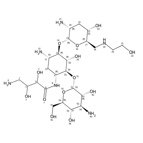 NCC(O)C(O)C(=O)N[C@@H]1C[C@H](N)[C@@H](O[C@H]2O[C@H](CNCCO)[C@@H](O)C[C@H]2N)[C@H](O)[C@H]1O[C@H]1O[C@H](CO)[C@@H](O)[C@H](N)[C@H]1O